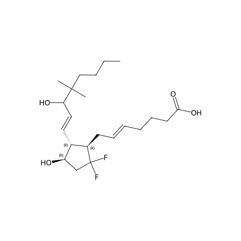 CCCCC(C)(C)C(O)C=C[C@H]1[C@H](O)CC(F)(F)[C@@H]1CC=CCCCC(=O)O